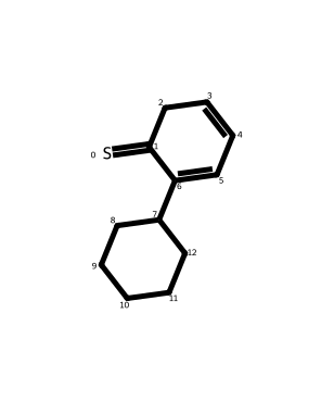 S=C1CC=CC=C1[C]1CCCCC1